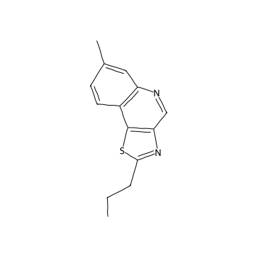 CCCc1nc2cnc3cc(C)ccc3c2s1